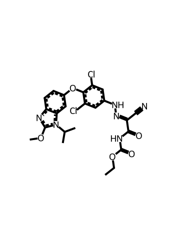 CCOC(=O)NC(=O)/C(C#N)=N/Nc1cc(Cl)c(Oc2ccc3nc(OC)n(C(C)C)c3c2)c(Cl)c1